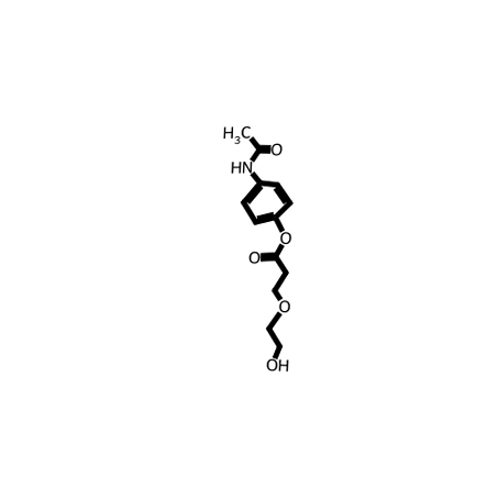 CC(=O)Nc1ccc(OC(=O)CCOCCO)cc1